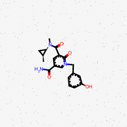 C[C@H]1C[C@@H]1N(C)C(=O)c1cc(C(N)=O)cn(Cc2cccc(O)c2)c1=O